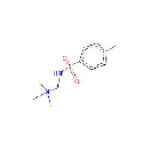 Cc1ccc(S(=O)(=O)NC[N+](C)(C)C)cc1